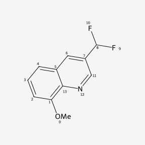 COc1cccc2cc(C(F)F)cnc12